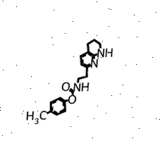 Cc1ccc(OC(=O)NCCc2ccc3c(n2)NCCC3)cc1